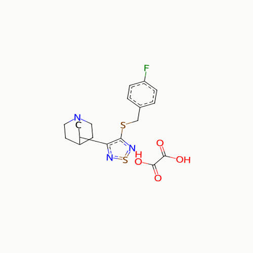 Fc1ccc(CSc2nsnc2C2CN3CCC2CC3)cc1.O=C(O)C(=O)O